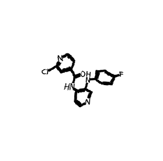 O=C(Nc1ccncc1Nc1ccc(F)cc1)c1ccnc(Cl)c1